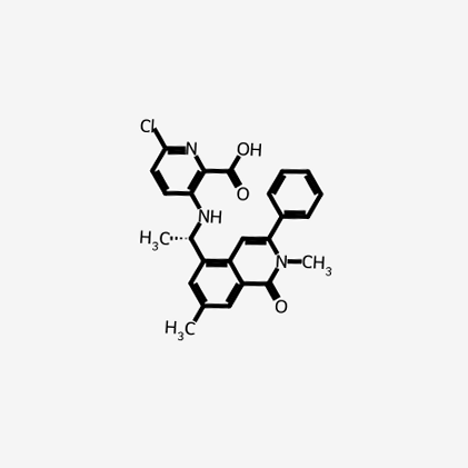 Cc1cc([C@H](C)Nc2ccc(Cl)nc2C(=O)O)c2cc(-c3ccccc3)n(C)c(=O)c2c1